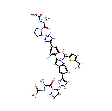 COC(=O)N[C@H](C(=O)N1CCC[C@H]1c1ncc(-c2cc(F)c3c(c2)OC(c2ccc(CC(C)C)s2)n2c-3cc3cc(-c4cnc([C@@H]5CCCN5C(=O)[C@@H](NC(=O)OC)C(C)C)[nH]4)ccc32)[nH]1)C(C)C